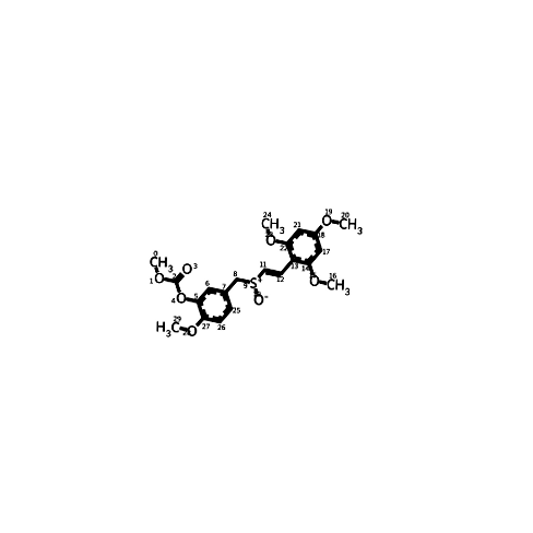 COC(=O)Oc1cc(C[S+]([O-])C=Cc2c(OC)cc(OC)cc2OC)ccc1OC